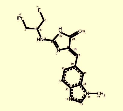 CC(C)C[C@@H](CF)NC1=N/C(=C\c2ccc3ncn(C)c3c2)C(=O)N1